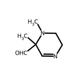 CN1CCN=CC1(C)C=O